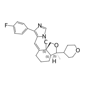 C[C@@]1(C2CCOCC2)OC[C@]23Cn4cnc(-c5ccc(F)cc5)c4C=C2CCC[C@@H]31